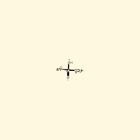 CCCP(=O)(O)C(=O)O